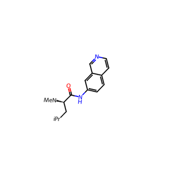 CN[C@H](CC(C)C)C(=O)Nc1ccc2ccncc2c1